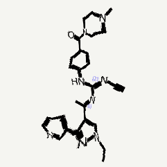 C#C/N=C(\N=C(/C)c1cn(CC)nc1-c1cccnc1)Nc1ccc(C(=O)N2CCN(C)CC2)cc1